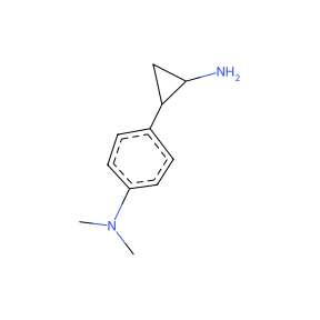 CN(C)c1ccc(C2CC2N)cc1